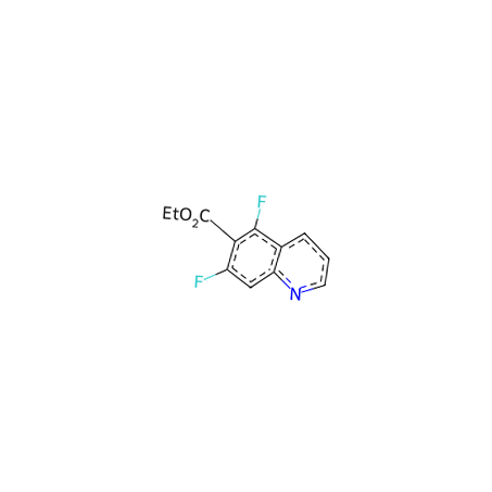 CCOC(=O)c1c(F)cc2ncccc2c1F